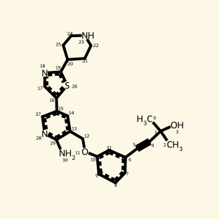 CC(C)(O)C#Cc1cccc(OCc2cc(-c3cnc(C4CCNCC4)s3)cnc2N)c1